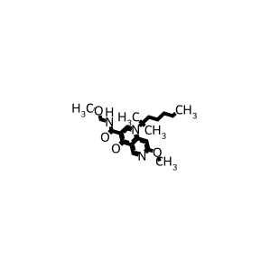 CCCCCC(C)(C)n1cc(C(=O)NCOC)c(=O)c2cnc(OC)cc21